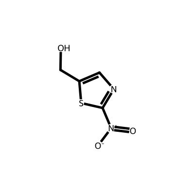 O=[N+]([O-])c1ncc(CO)s1